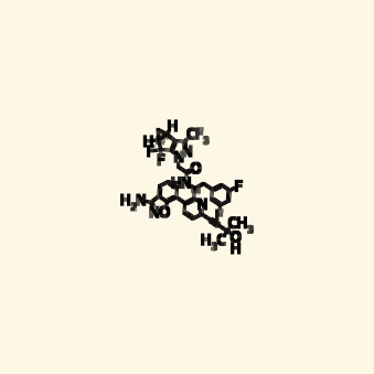 CC(C)(O)C#Cc1ccc(-c2cccc3c(N)noc23)c([C@H](Cc2cc(F)cc(F)c2)NC(=O)Cn2nc(C(F)(F)F)c3c2C(F)(F)[C@@H]2C[C@H]32)n1